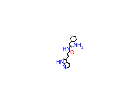 NC[C@H](CC1CCCCC1)NC(=O)C=Cc1c[nH]c2ncccc12